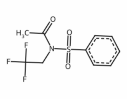 CC(=O)N(CC(F)(F)F)S(=O)(=O)c1ccccc1